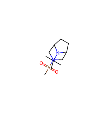 CC(C)(C)N1C2CCC1CN(S(C)(=O)=O)C2